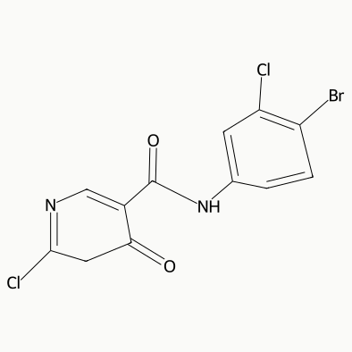 O=C1CC(Cl)=NC=C1C(=O)Nc1ccc(Br)c(Cl)c1